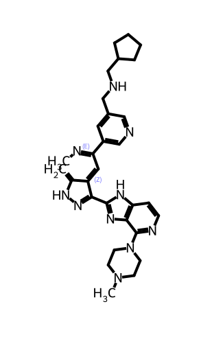 C=c1[nH]nc(-c2nc3c(N4CCN(C)CC4)nccc3[nH]2)/c1=C/C(=N\C)c1cncc(CNCC2CCCC2)c1